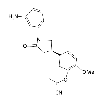 COC1=C(OC(C)C#N)CC([C@H]2CC(=O)N(c3cccc(N)c3)C2)C=C1